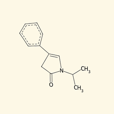 CC(C)N1C=C(c2ccccc2)CC1=O